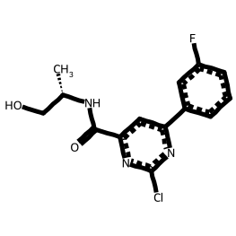 C[C@@H](CO)NC(=O)c1cc(-c2cccc(F)c2)nc(Cl)n1